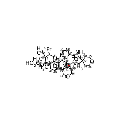 CC(C)[C@@H](C)[C@@]1(C)CC[C@]2(C)[C@H]3CC[C@@H]4[C@@]5(COC[C@@]4(C)[C@@H](OCC4(N)CCOCC4)[C@H](n4ncnc4C(N)=O)C5)C3=CC[C@]2(C)[C@@H]1OC(=O)O